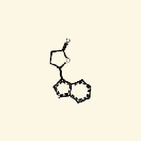 O=C1CCC(c2csc3ccccc23)O1